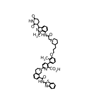 Cc1c(OCCCC2CCCN(CC(=O)Nc3cccc4c(C5CCC(=O)NC5=O)nn(C)c34)C2)cccc1-c1ccc(N2CCc3cccc(C(=O)Nc4nc5ccccc5s4)c3C2)nc1C(=O)O